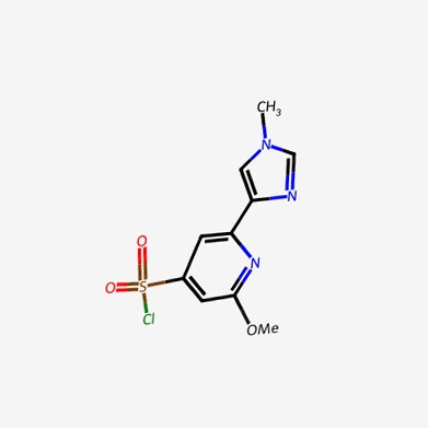 COc1cc(S(=O)(=O)Cl)cc(-c2cn(C)cn2)n1